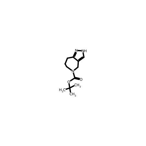 CC(C)(C)OC(=O)N1CCCc2n[nH]cc2C1